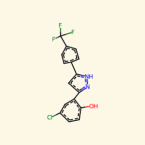 Oc1ccc(Cl)cc1-c1cc(-c2ccc(C(F)(F)F)cc2)[nH]n1